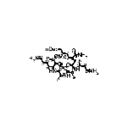 CCCCCCCCCCCCCCC(C(N)=O)[C@H](CCCCN)C(=O)N[C@@H](C)C(=O)N[C@@H](C)C(=O)N[C@@H](CCCCN)C(=O)N(C)OC